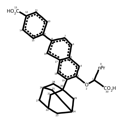 CCCC(Oc1cc2ccc(-c3ccc(C(=O)O)cc3)cc2cc1C12CC3CC(CC(C3)C1)C2)C(=O)O